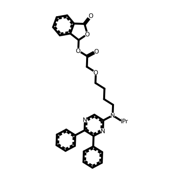 CC(C)N(CCCCOCC(=O)OC1OC(=O)c2ccccc21)c1cnc(-c2ccccc2)c(-c2ccccc2)n1